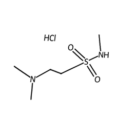 CNS(=O)(=O)CCN(C)C.Cl